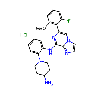 COc1cccc(F)c1-c1cn2ccnc2c(Nc2ccccc2N2CCC(N)CC2)n1.Cl